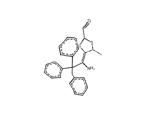 CC1OC(C=O)OC1=C(N)C(c1ccccc1)(c1ccccc1)c1ccccc1